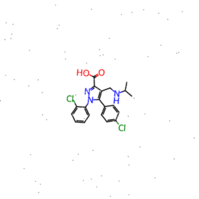 CC(C)NCc1c(C(=O)O)nn(-c2ccccc2Cl)c1-c1ccc(Cl)cc1